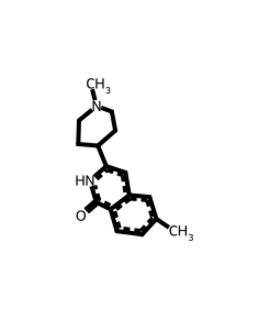 Cc1ccc2c(=O)[nH]c(C3CCN(C)CC3)cc2c1